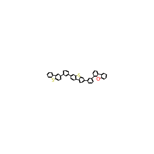 c1cc(-c2ccc3c(c2)sc2cc(-c4cccc(-c5cccc6c5oc5ccccc56)c4)ccc23)cc(-c2ccc3sc4ccccc4c3c2)c1